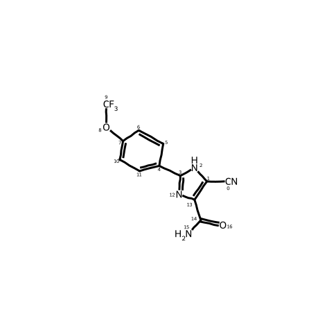 N#Cc1[nH]c(-c2ccc(OC(F)(F)F)cc2)nc1C(N)=O